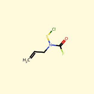 C=CCN(SCl)C(=O)F